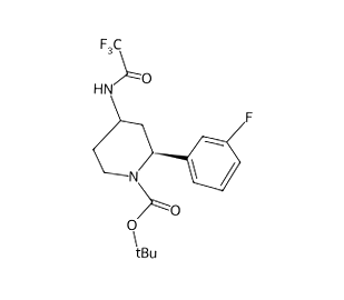 CC(C)(C)OC(=O)N1CCC(NC(=O)C(F)(F)F)C[C@H]1c1cccc(F)c1